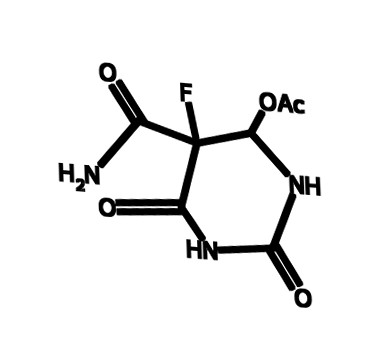 CC(=O)OC1NC(=O)NC(=O)C1(F)C(N)=O